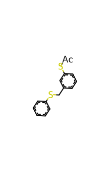 CC(=O)Sc1cccc(CSc2ccccc2)c1